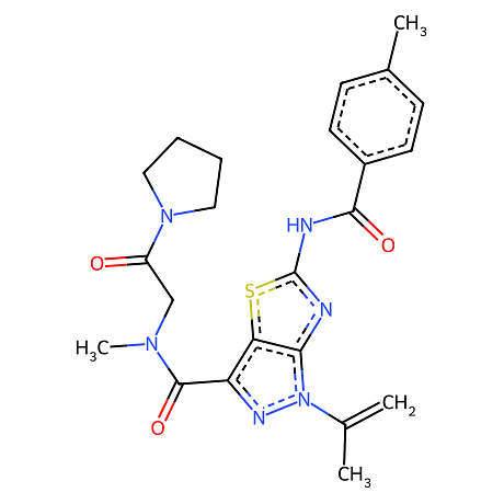 C=C(C)n1nc(C(=O)N(C)CC(=O)N2CCCC2)c2sc(NC(=O)c3ccc(C)cc3)nc21